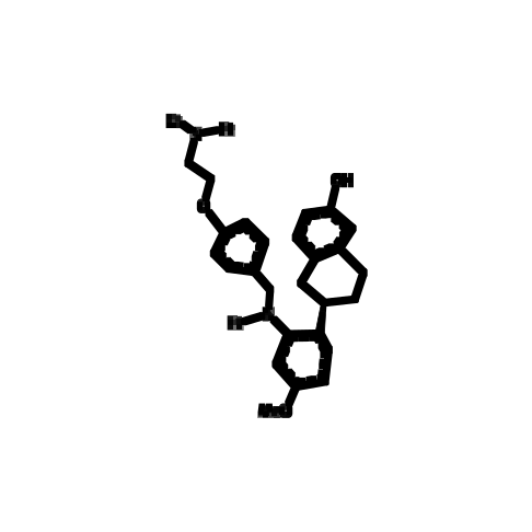 CCN(CC)CCOc1ccc(CN(CC)c2cc(OC)ccc2[C@@H]2CCc3cc(O)ccc3C2)cc1